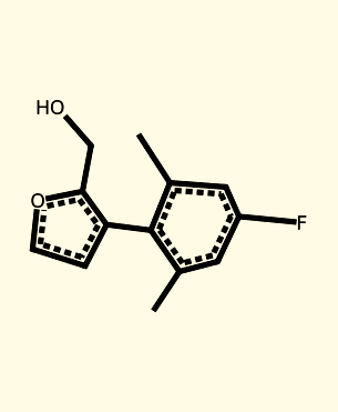 Cc1cc(F)cc(C)c1-c1ccoc1CO